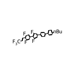 CCCCc1ccc(-c2ccc(-c3cc(F)c(-c4cc(F)c(/C=C/C(F)(F)F)c(F)c4)c(F)c3)cc2)cc1